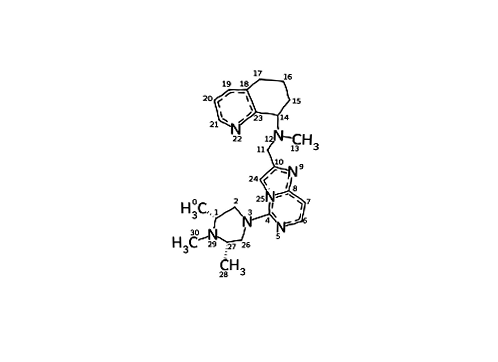 C[C@@H]1CN(c2nccc3nc(CN(C)C4CCCc5cccnc54)cn23)C[C@H](C)N1C